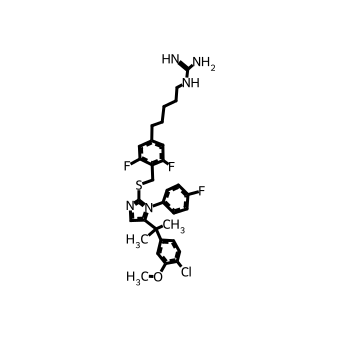 COc1cc(C(C)(C)c2cnc(SCc3c(F)cc(CCCCCNC(=N)N)cc3F)n2-c2ccc(F)cc2)ccc1Cl